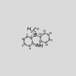 CB1c2ccccc2Nc2ccccc21